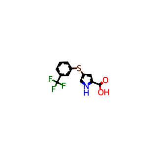 O=C(O)c1cc(Sc2cccc(C(F)(F)F)c2)c[nH]1